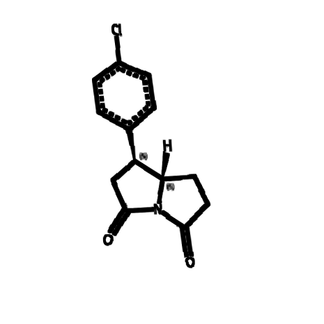 O=C1CC[C@H]2[C@H](c3ccc(Cl)cc3)CC(=O)N12